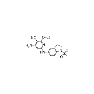 CCOc1nc(Nc2ccc3c(c2)CCN3S(C)(=O)=O)cc(N)c1C#N